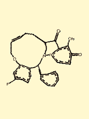 O=C1c2c(O)c(=O)ccn2N2CC1CC/C=C/COc1cc(F)ccc1[C@@H]2c1ccccc1